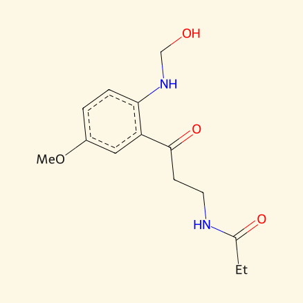 CCC(=O)NCCC(=O)c1cc(OC)ccc1NCO